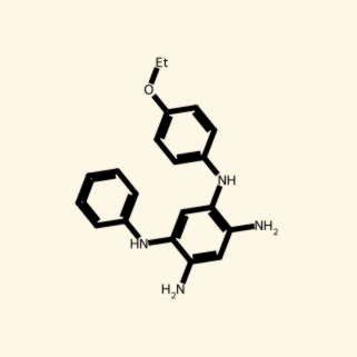 CCOc1ccc(Nc2cc(NC3=CC=C=C=C3)c(N)cc2N)cc1